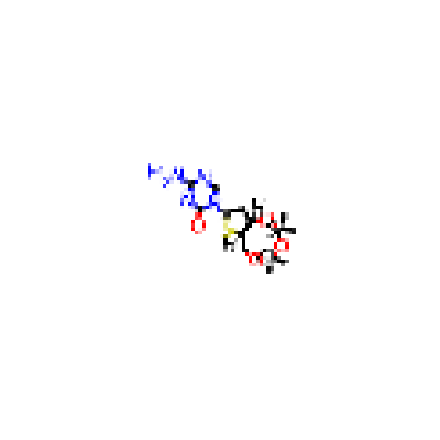 C[Si]1(C)OC[C@H]2S[C@H](n3cnc(N)nc3=O)C[C@@H]2O[Si](C)(C)O1